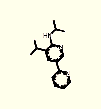 CC(C)Nc1ncc(-c2ccccn2)cc1C(C)C